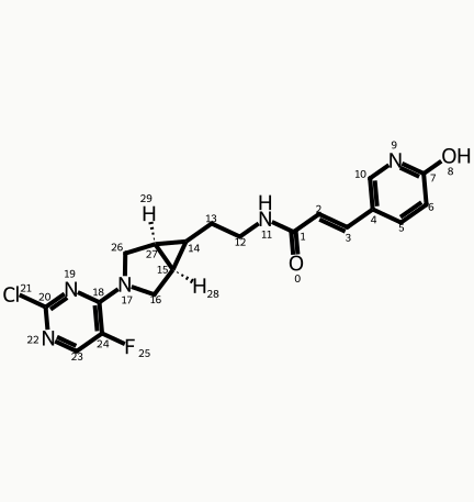 O=C(/C=C/c1ccc(O)nc1)NCCC1[C@H]2CN(c3nc(Cl)ncc3F)C[C@@H]12